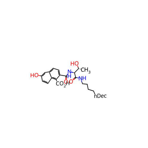 CCCCCCCCCCCCCCNC(=O)[C@@H](NC(=O)c1ccc2cc(O)ccc2c1C(=O)O)[C@@H](C)O